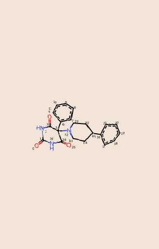 O=C1NC(=O)C(c2ccccc2)(N2CCC(c3ccccc3)CC2)C(=O)N1